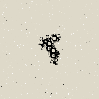 CC(=O)O[C@H]1CC[C@]2(C)[C@H]3CC[C@@H]4C5=C(C(C)C)C(=O)C[C@]5(C(=O)N5CCC(F)(F)CC5)CC[C@@]4(C)[C@]3(C)CC[C@H]2C1(C)C